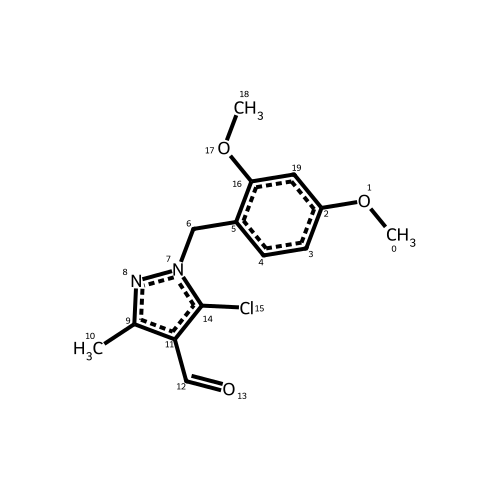 COc1ccc(Cn2nc(C)c(C=O)c2Cl)c(OC)c1